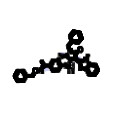 CCNc1ccc(/C(C)=N/OCc2ccccc2)cc1/N=C1\S/C(=C2\Sc3ccccc3N2C)C(=O)N1Cc1ccccc1